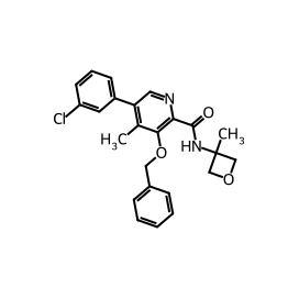 Cc1c(-c2cccc(Cl)c2)cnc(C(=O)NC2(C)COC2)c1OCc1ccccc1